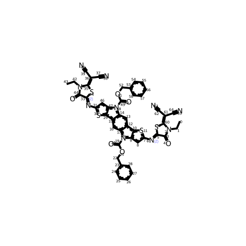 CCN1C(=O)/C(=N/c2cc3c(s2)c2cc4c(cc2n3C(=O)OCc2ccccc2)c2sc(/N=C3\SC(=C(C#N)C#N)N(CC)C3=O)cc2n4C(=O)OCc2ccccc2)SC1=C(C#N)C#N